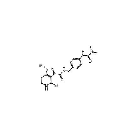 CCC1NCCc2c1c(C(=O)NCc1ccc(NC(=O)N(C)C)cc1)nn2C(C)C